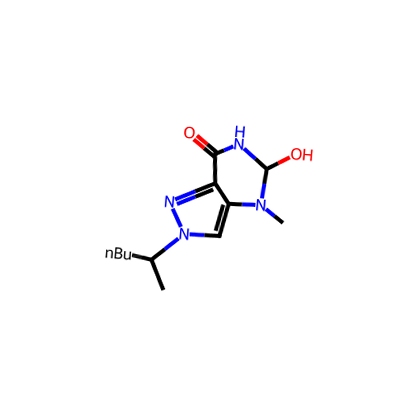 CCCCC(C)n1cc2c(n1)C(=O)NC(O)N2C